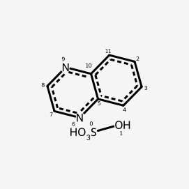 O=S(=O)(O)O.c1ccc2nccnc2c1